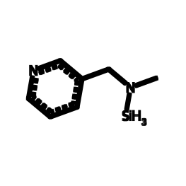 CN([SiH3])Cc1cccnc1